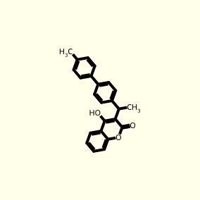 Cc1ccc(-c2ccc(C(C)c3c(O)c4ccccc4oc3=O)cc2)cc1